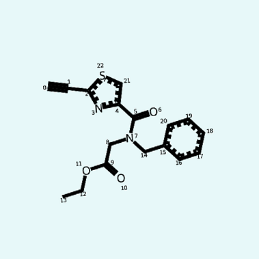 C#Cc1nc(C(=O)N(CC(=O)OCC)Cc2ccccc2)cs1